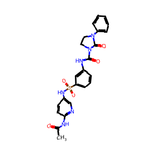 CC(=O)Nc1ccc(NS(=O)(=O)c2cccc(NC(=O)N3CCN(c4ccccc4)C3=O)c2)cn1